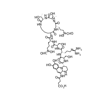 C[C@@H](O)[C@@H]1NC(=O)[C@H](CCCN(O)C=O)NC(=O)[C@@H](NC(=O)[C@H](CCCN(O)C=O)NC(=O)[C@@H](CO)NC(=O)[C@H](CCCN=C(N)N)NC(=O)[C@@H](CO)NC(=O)[C@@H]2CCNC3C(NC(=O)CCC(=O)O)=Cc4cc(O)c(O)cc4N32)CCCCNC(=O)[C@H]([C@@H](C)O)NC1=O